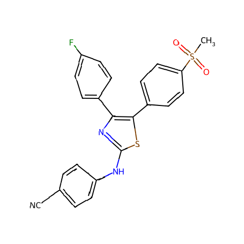 CS(=O)(=O)c1ccc(-c2sc(Nc3ccc(C#N)cc3)nc2-c2ccc(F)cc2)cc1